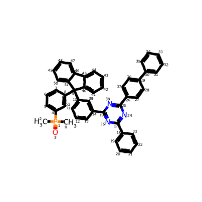 CP(C)(=O)c1cccc(C2(c3cccc(-c4nc(-c5ccccc5)nc(-c5ccc(-c6ccccc6)cc5)n4)c3)c3ccccc3-c3ccccc32)c1